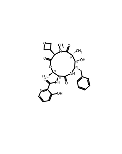 C[C@H]1OC(=O)C(C2COC2)N(C)C(=O)[C@H](C)[C@H](O)[C@H](Cc2ccccc2)NC(=O)[C@H]1NC(=O)c1ncccc1O